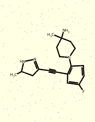 CC1CC(C#Cc2cc(F)ccc2N2CCC(C)(N)CC2)=NN1